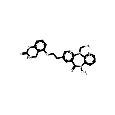 CCN1c2ncc(CCOc3cccc4c3CNC(=O)O4)cc2C(=O)N(C)c2cccnc21